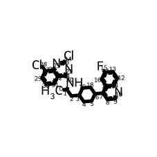 CC(CC1CCC(c2ccnc3ccc(F)cc23)CC1)Nc1nc(Cl)nc2c(Cl)cccc12